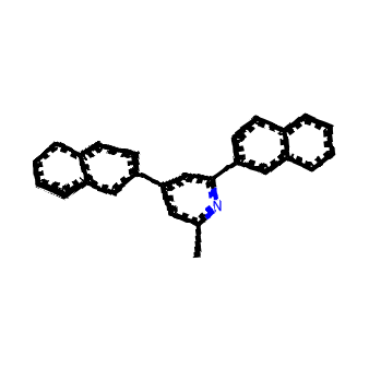 Cc1cc(-c2ccc3ccccc3c2)cc(-c2ccc3ccccc3c2)n1